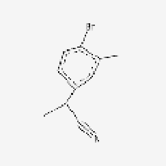 Cc1cc(C(C)C#N)ccc1Br